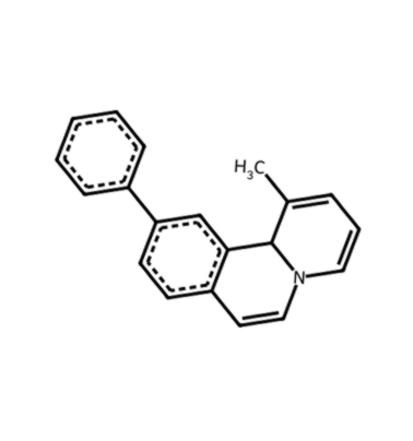 CC1=CC=CN2C=Cc3ccc(-c4ccccc4)cc3C12